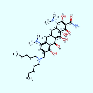 CCCCCN(CCCCC)Cc1cc(N(C)C)c2c(c1O)C(=O)C1=C(O)[C@]3(O)C(=O)C(C(N)=O)=C(O)[C@@H](N(C)C)C3CC1C2